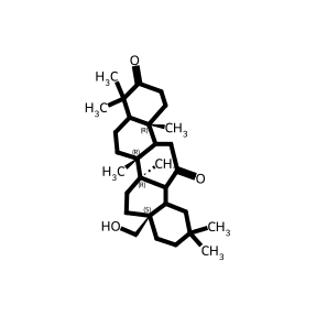 CC1(C)CC[C@]2(CO)CC[C@]3(C)C(C(=O)CC4[C@@]5(C)CCC(=O)C(C)(C)C5CC[C@]43C)C2C1